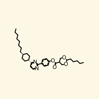 CCCCCCCC[C@H]1CC[C@H](c2ccnc(-c3ccc(OC(=O)C4COC(CCCCC)OC4)cc3)n2)CC1